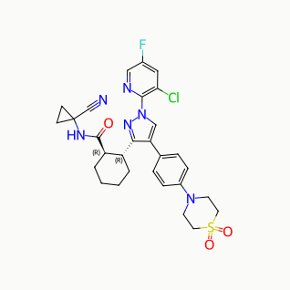 N#CC1(NC(=O)[C@@H]2CCCC[C@H]2c2nn(-c3ncc(F)cc3Cl)cc2-c2ccc(N3CCS(=O)(=O)CC3)cc2)CC1